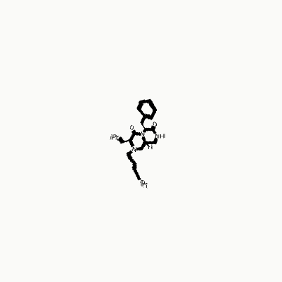 CC(C)CCCN1C[C@H]2CNC(=O)[C@H](Cc3ccccc3)N2C(=O)[C@@H]1CC(C)C